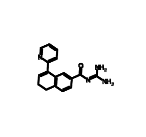 NC(N)=NC(=O)c1ccc2c(c1)C(c1ccccn1)=CCC2